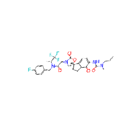 CCCN(C)C(=O)NC1=CC=C2C(CC[C@]23CN(CC(=O)N(Cc2ccc(F)cc2)C(C)C(F)(F)F)C(=O)O3)C1=O